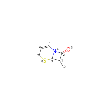 CC1C(=O)N2C=CCSC12